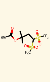 CCC(C)C(=O)OC(C)(C)CC(S(=O)(=O)C(F)(F)F)S(=O)(=O)C(F)(F)F